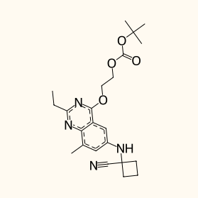 CCc1nc(OCCOC(=O)OC(C)(C)C)c2cc(NC3(C#N)CCC3)cc(C)c2n1